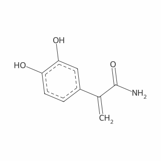 C=C(C(N)=O)c1ccc(O)c(O)c1